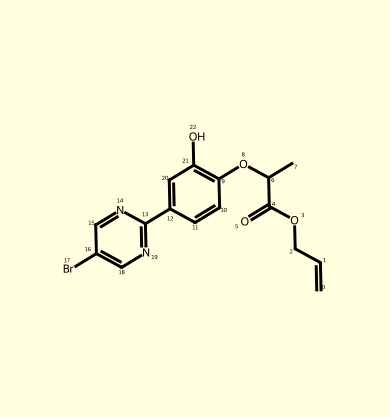 C=CCOC(=O)C(C)Oc1ccc(-c2ncc(Br)cn2)cc1O